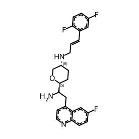 NC(Cc1ccnc2ccc(F)cc12)[C@@H]1CC[C@@H](NCC=Cc2cc(F)ccc2F)CO1